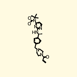 C=CC(=O)N1CCN(Cc2ccc([C@H](C)Nc3nccc(N4C(=O)OCC4(C)C)n3)cc2)CC1